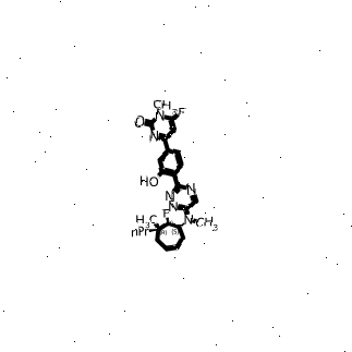 CCC[C@]1(C)CCCC[C@H](N(C)c2cnc(-c3ccc(-c4cc(F)n(C)c(=O)n4)cc3O)nn2)[C@@H]1F